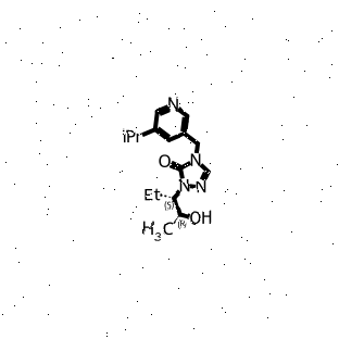 CC[C@@H]([C@@H](C)O)n1ncn(Cc2cncc(C(C)C)c2)c1=O